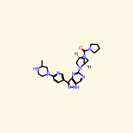 CC1CN(c2ccc(-c3n[nH]c4cnc(N5C[C@@H]6C[C@H]5CN6C(=O)N5CCCC5)nc34)cn2)CCN1